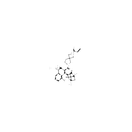 C=CC(=O)N1CC2(CCN(c3nc4c(c(-c5c(F)cccc5C(C)O)c3C#N)C[C@H]3C[C@@H]4C3(C)C)C2)C1